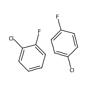 Fc1ccc(Cl)cc1.Fc1ccccc1Cl